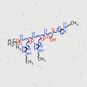 CCCCNc1ncnc2c1ncn2CC(=O)N(CCNC(=O)CN(CCNC(=O)CN(CCNC(=O)OC(C)(C)C)C(=O)Cn1cnc2c(NCCCC)ncnc21)C(=O)Cn1cnc2c(NCCCC)ncnc21)CC(=O)O